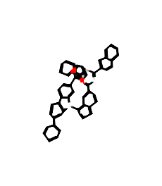 c1ccc(-c2ccc3c4ccc(-c5ccccc5)cc4n(-c4cccc5ccc(-c6nc(-c7ccccc7)nc(-c7ccc8ccccc8c7)n6)cc45)c3c2)cc1